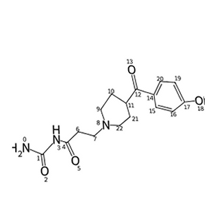 NC(=O)NC(=O)CCN1CCC(C(=O)c2ccc(O)cc2)CC1